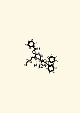 C[C@@H](C/C=C\C(OC(=O)c1ccccc1)[C@@H](C)CCCI)O[Si](c1ccccc1)(c1ccccc1)C(C)(C)C